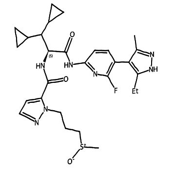 CCc1[nH]nc(C)c1-c1ccc(NC(=O)[C@@H](NC(=O)c2ccnn2CCC[S+](C)[O-])C(C2CC2)C2CC2)nc1F